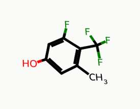 Cc1cc(O)cc(F)c1C(F)(F)F